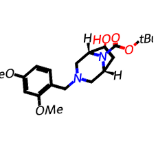 COc1ccc(CN2C[C@H]3C[C@@H](O)[C@@H](C2)N3C(=O)OC(C)(C)C)c(OC)c1